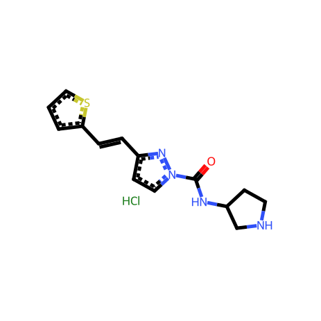 Cl.O=C(NC1CCNC1)n1ccc(/C=C/c2cccs2)n1